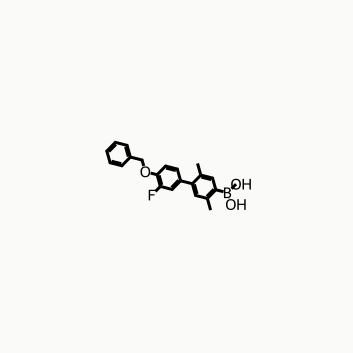 Cc1cc(-c2ccc(OCc3ccccc3)c(F)c2)c(C)cc1B(O)O